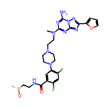 CN(CCN1CCN(c2cc(C(=O)NCC[S@@+](C)[O-])c(F)cc2F)CC1)c1nc(N)n2nc(-c3ccco3)nc2n1